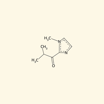 CC(C)C(=O)c1nccn1C